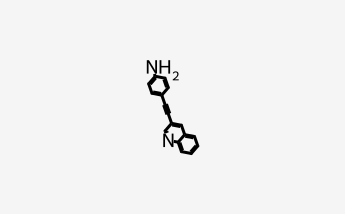 Nc1ccc(C#Cc2cnc3ccccc3c2)cc1